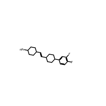 CCCC1CCC(C=CC2CCC(c3ccc(F)c(F)c3)CC2)CC1